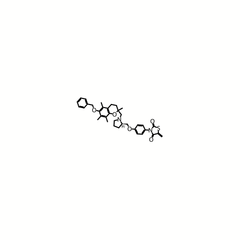 C=C1SC(=O)N(c2ccc(OC[C@H]3CCCN3CC3(C)CCc4c(C)c(OCc5ccccc5)c(C)c(C)c4O3)cc2)C1=O